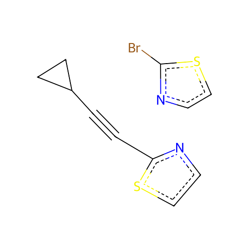 Brc1nccs1.C(#CC1CC1)c1nccs1